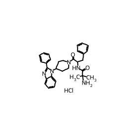 CC(C)(N)C(=O)NC(Cc1ccccc1)C(=O)N1CCC(n2c(-c3ccccc3)nc3ccccc32)CC1.Cl